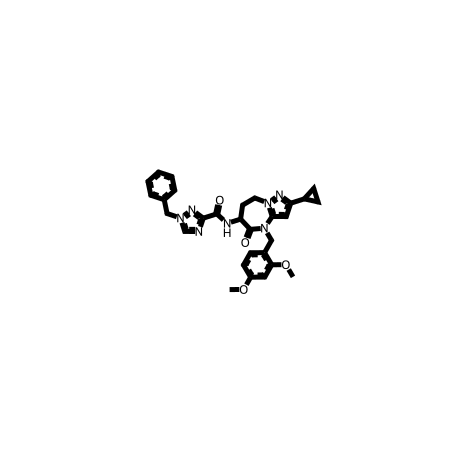 COc1ccc(CN2C(=O)C(NC(=O)c3ncn(Cc4ccccc4)n3)CCn3nc(C4CC4)cc32)c(OC)c1